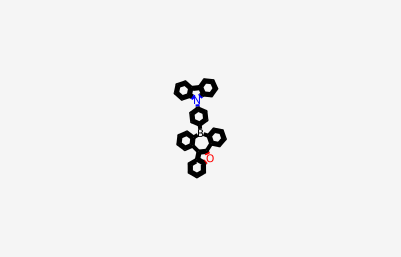 c1ccc2c(c1)B(c1ccc(-n3c4ccccc4c4ccccc43)cc1)c1ccccc1-c1c-2oc2ccccc12